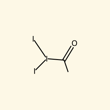 CC(=O)I(I)I